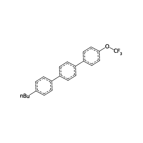 CCCCc1ccc(-c2ccc(-c3ccc(OC(F)(F)F)cc3)cc2)cc1